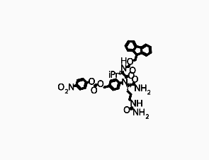 CC(C)[C@H](NC(=O)OCC1c2ccccc2-c2ccccc21)C(=O)N(c1ccc(COC(=O)Oc2ccc([N+](=O)[O-])cc2)cc1)[C@@H](CCCNC(N)=O)C(N)=O